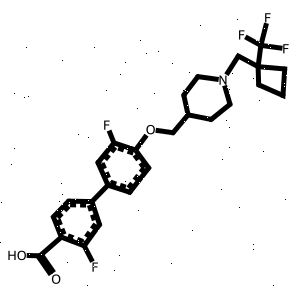 O=C(O)c1ccc(-c2ccc(OCC3CCN(CC4(C(F)(F)F)CCC4)CC3)c(F)c2)cc1F